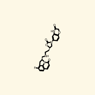 O=C1COc2ccc(N3C[C@@H](CCNC[C@@H]4Cc5c(F)ccc6ccc(=O)n4c56)OC3=O)cc2N1